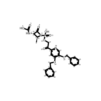 C[C@H]1[C@H](NC(=O)O)C(=O)N1P(=O)(O)OCC(=O)c1cc(OCc2ccccc2)c(OCc2ccccc2)cn1